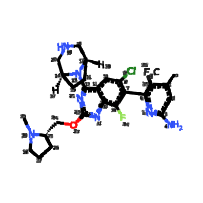 Cc1cc(N)nc(-c2c(Cl)cc3c(N4[C@H]5CC[C@H]4CNC5)nc(OC[C@@H]4CCCN4C)nc3c2F)c1C(F)(F)F